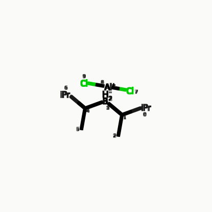 CC(C)C(C)[BH2-]C(C)C(C)C.[Cl][Al+][Cl]